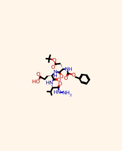 CC(C)[C@H](NC(=O)[C@H](CCC(=O)O)NC(=O)[C@H](CC(=O)OC(C)(C)C)NC(=O)OCc1ccccc1)C(=O)NN